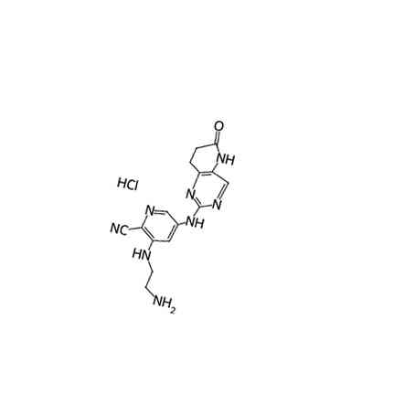 Cl.N#Cc1ncc(Nc2ncc3c(n2)CCC(=O)N3)cc1NCCN